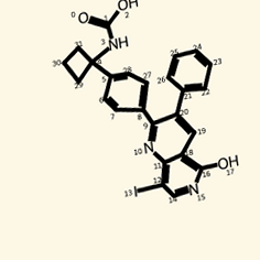 O=C(O)NC1(c2ccc(-c3nc4c(I)cnc(O)c4cc3-c3ccccc3)cc2)CCC1